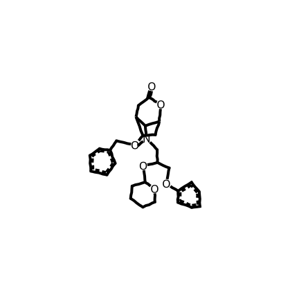 CN(CC(COc1ccccc1)OC1CCCCO1)C1C2CC(OCc3ccccc3)C1CC(=O)O2